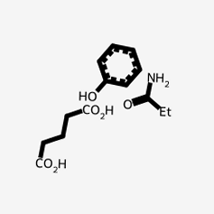 CCC(N)=O.O=C(O)CCCC(=O)O.Oc1ccccc1